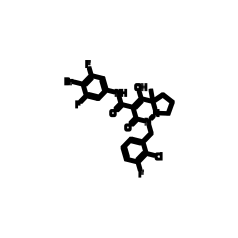 CC12CCCN1N(Cc1cccc(F)c1Cl)C(=O)C(C(=O)Nc1cc(F)c(Br)c(F)c1)=C2O